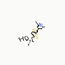 Cc1cc(-c2cc3sc(C(=O)O)cc3s2)cc(C)n1